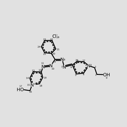 OCCn1ccc(=NN=C(N=Nc2cc[n+](CO)cc2)c2ccccc2)cc1.[Cl-]